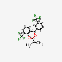 C=C(C)C(=O)OC(c1cccc(C(F)(F)F)c1)c1cccc(C(F)(F)F)c1